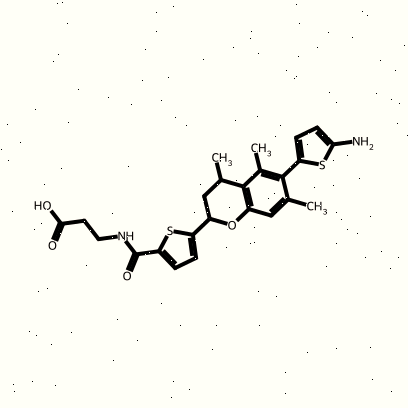 Cc1cc2c(c(C)c1-c1ccc(N)s1)C(C)CC(c1ccc(C(=O)NCCC(=O)O)s1)O2